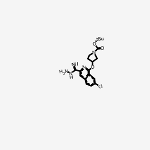 CC(C)(C)OC(=O)N1CCC(Oc2nc(C(=N)NN)cc3ccc(Cl)cc23)C1